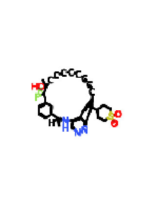 C[C@H]1Nc2cnnc3cc(c(C4CCS(=O)(=O)CC4)cc23)CCCCCCCCC(C)(O)C(F)(F)c2cccc1c2